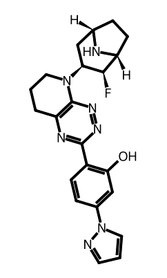 Oc1cc(-n2cccn2)ccc1-c1nnc2c(n1)CCCN2[C@H]1C[C@@H]2CC[C@@H](N2)[C@H]1F